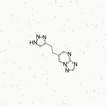 c1nc2ncc(CCc3c[nH]nn3)cn2n1